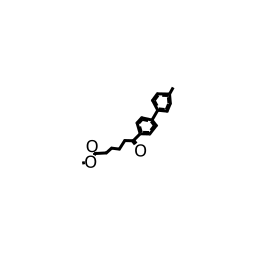 COC(=O)CCCCC(=O)c1ccc(-c2ccc(C)cc2)cc1